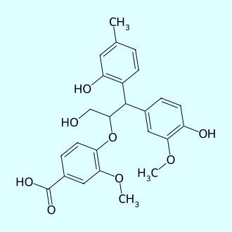 COc1cc(C(c2ccc(C)cc2O)C(CO)Oc2ccc(C(=O)O)cc2OC)ccc1O